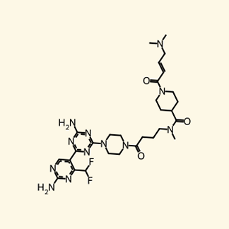 CN(C)C/C=C/C(=O)N1CCC(C(=O)N(C)CCCC(=O)N2CCN(c3nc(N)nc(-c4cnc(N)nc4C(F)F)n3)CC2)CC1